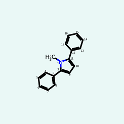 Cn1c(-c2[c]cccc2)ccc1-c1ccccc1